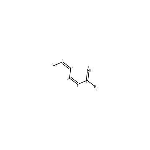 C/C=C\C=C/C(=N)CC